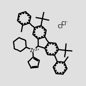 Cc1ccccc1-c1cc2c(cc1C(C)(C)C)-c1cc(C(C)(C)C)c(-c3ccccc3C)cc1[CH]2[Zr+2]([C]1=CC=CC1)[CH]1CCCCC1.[Cl-].[Cl-]